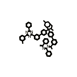 C=C(/N=C(\N=C(/C)c1cccc(-c2ccc(C3(c4ccc(-c5cccc(-c6nc(-c7ccccc7)nc(-c7cccc(C)c7)n6)c5)cc4)C(C)CC4CC(C)CC3C4)cc2)c1)c1ccccc1)c1ccccc1